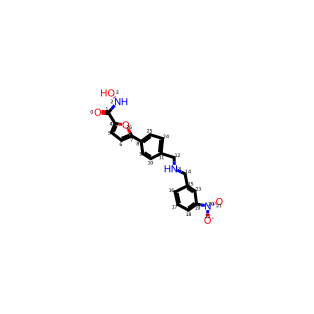 O=C(NO)c1ccc(-c2ccc(CNCc3cccc([N+](=O)[O-])c3)cc2)o1